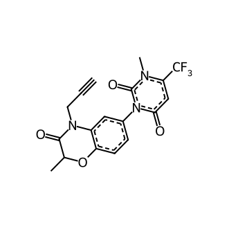 C#CCN1C(=O)C(C)Oc2ccc(-n3c(=O)cc(C(F)(F)F)n(C)c3=O)cc21